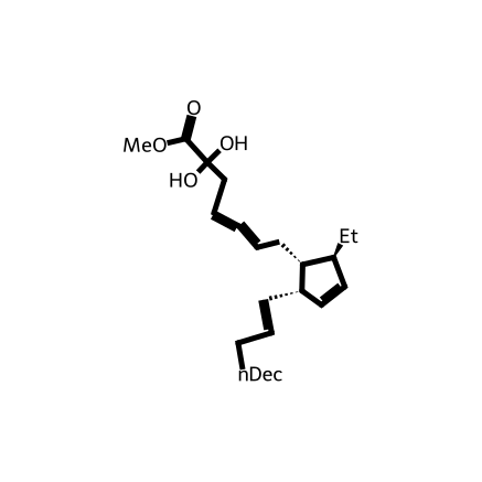 CCCCCCCCCCCC=C[C@H]1C=C[C@H](CC)[C@H]1CC=C=CCC(O)(O)C(=O)OC